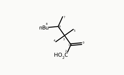 C=C(C(=O)O)C(C)(C)C(C)CCCC